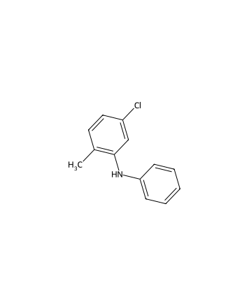 Cc1ccc(Cl)cc1Nc1ccccc1